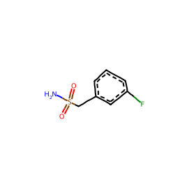 NS(=O)(=O)Cc1cccc(F)c1